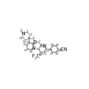 CN1CCC(COCc2cc(C(F)(F)F)cc(-c3ccc(C#N)cc3)n2)(c2cccnc2)CC1